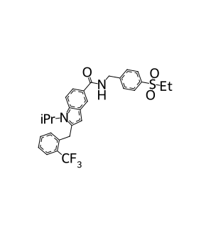 CCS(=O)(=O)c1ccc(CNC(=O)c2ccc3c(c2)cc(Cc2ccccc2C(F)(F)F)n3C(C)C)cc1